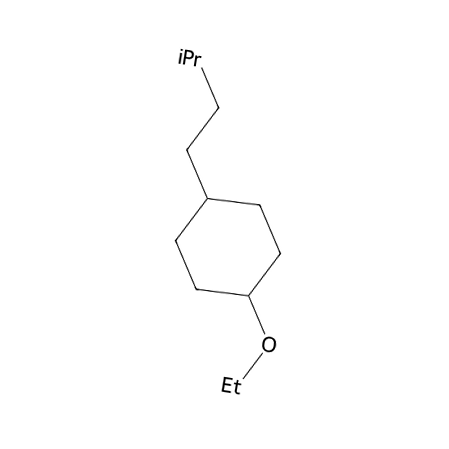 CCOC1CCC(CCC(C)C)CC1